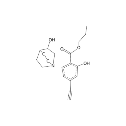 C#Cc1ccc(C(=O)OCCC)c(O)c1.OC1CN2CCC1CC2